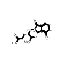 COC(=O)[C@H](CCC(N)=O)NN1Cc2c(N)cccc2C1=O